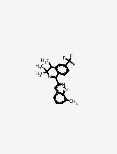 Cc1cccc2cc(C3=NC(C)(C)C(C)c4cc(C(F)(F)F)ccc43)nnc12